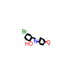 COc1ccc(/N=C/c2cc(Br)ccc2O)cc1